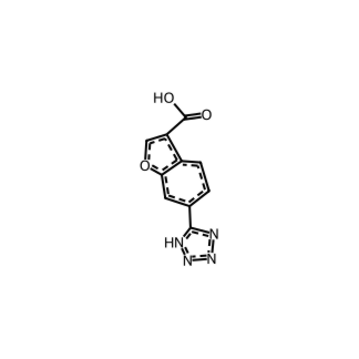 O=C(O)c1coc2cc(-c3nnn[nH]3)ccc12